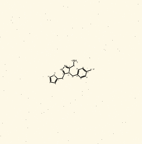 NCc1nnc(Cc2cccs2)n1Cc1ccc(F)cc1